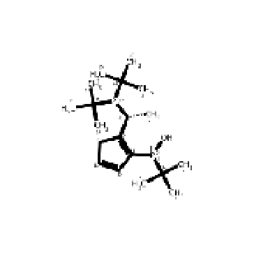 C[C@H](C1=C([PH2](O)C(C)(C)C)C=CC1)P(C(C)(C)C)C(C)(C)C